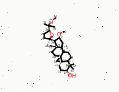 CO[C@H]1C[C@@]2(C)C3CCC4C(C)(C)[C@@H](O)CC[C@@]45CC35CC[C@]2(C)[C@H]1[C@@]1(C)CC[C@@H](C(C)(C)OC)O1